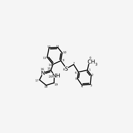 Cc1ccccc1CSc1ccccc1C1=NCCCN1